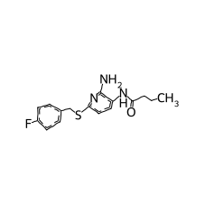 CCCC(=O)Nc1ccc(SCc2ccc(F)cc2)nc1N